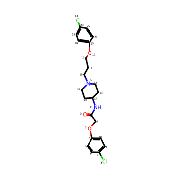 O=C(COc1ccc(Cl)cc1)NC1CCN(CCCOc2ccc(Cl)cc2)CC1